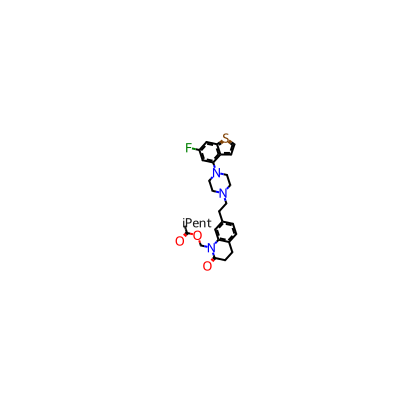 CCCC(C)C(=O)OCN1C(=O)CCc2ccc(CCN3CCN(c4cc(F)cc5sccc45)CC3)cc21